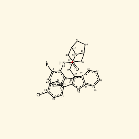 O=C(Nc1c(F)cccc1F)N1C2CCC1CN(Cc1c(-c3ccc(Cl)cc3)nc3ncccn13)C2